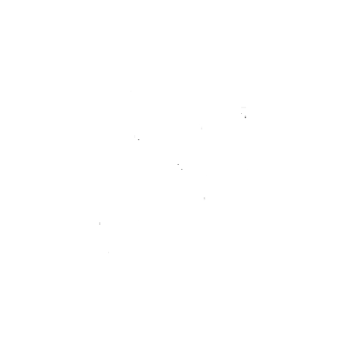 CC1(C)Cc2cc(NC(O)c3ccc[nH]c3=O)c(N3CCOCC3)cc2O1